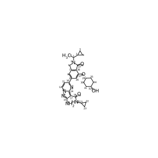 CC(C1CC1)N1Cc2cc(-c3ccn4nc(N)c(C(=O)NC5CC5)c4n3)cc(O[C@H]3CC[C@H](O)CC3)c2C1=O